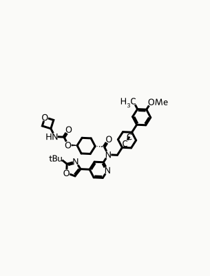 COc1ccc(C23CCC(CN(c4cc(-c5coc(C(C)(C)C)n5)ccn4)C(=O)[C@H]4CC[C@H](OC(=O)NC5COC5)CC4)(CC2)CC3)cc1C